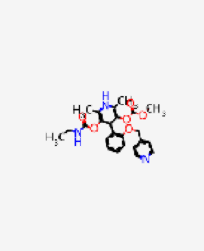 CCNC(=O)OC1=C(C)NC(C)=C(OC(=O)OC)C1c1ccccc1OCc1ccncc1